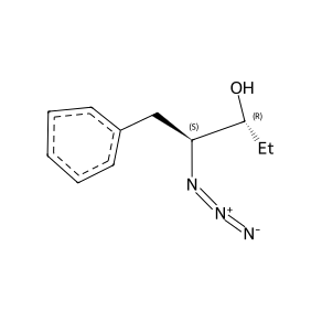 CC[C@@H](O)[C@H](Cc1ccccc1)N=[N+]=[N-]